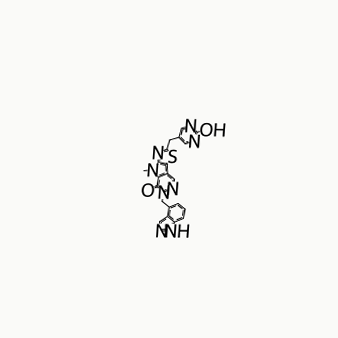 Cn1c2nc(Cc3cnc(O)nc3)sc2c2cnn(Cc3cccc4[nH]ncc34)c(=O)c21